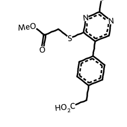 COC(=O)CSc1nc(Cl)ncc1-c1ccc(CC(=O)O)cc1